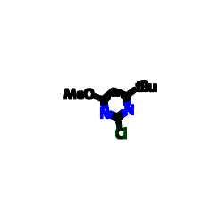 COc1cc(C(C)(C)C)nc(Cl)n1